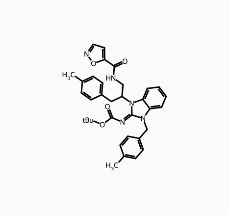 Cc1ccc(CC(CNC(=O)c2ccno2)n2c(=NC(=O)OC(C)(C)C)n(Cc3ccc(C)cc3)c3ccccc32)cc1